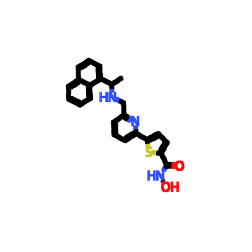 CC(NCc1cccc(-c2ccc(C(=O)NO)s2)n1)c1cccc2ccccc12